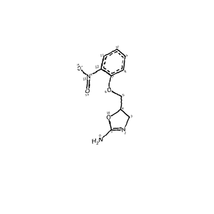 NC1=NCC(COc2ccccc2[N+](=O)[O-])O1